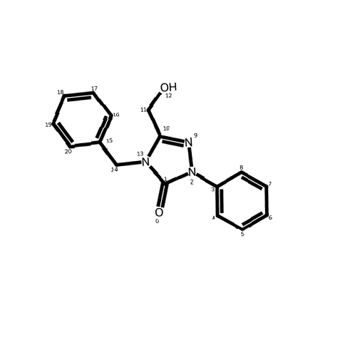 O=c1n(-c2ccccc2)nc(CO)n1Cc1ccccc1